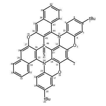 Cc1c2oc3cc(C(C)(C)C)ccc3n3c2c2c4c1oc1cc(C(C)(C)C)ccc1n4-c1c4c(cc5ccccc15)Oc1cc5ccccc5c-3c1P42=S